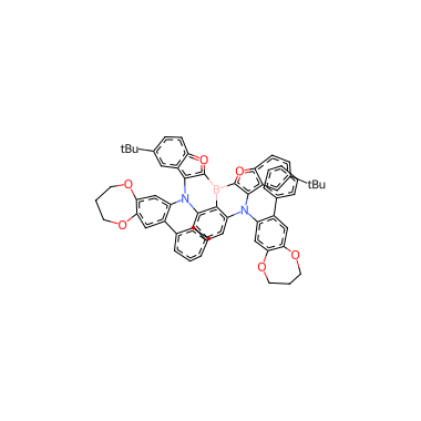 CC(C)(C)c1ccc2oc3c(c2c1)N(c1cc2c(cc1-c1ccccc1)OCCCO2)c1cccc2c1B3c1oc3ccc(C(C)(C)C)cc3c1N2c1cc2c(cc1-c1ccccc1)OCCCO2